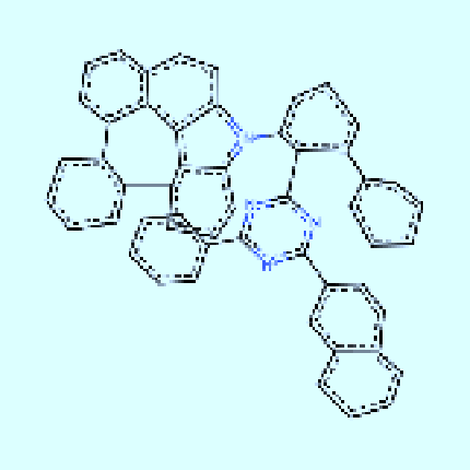 c1ccc(-c2nc(-c3ccc4ccccc4c3)nc(-c3c(-c4ccccc4)cccc3-n3c4cccc5c4c4c6c(cccc6ccc43)-c3ccccc3-5)n2)cc1